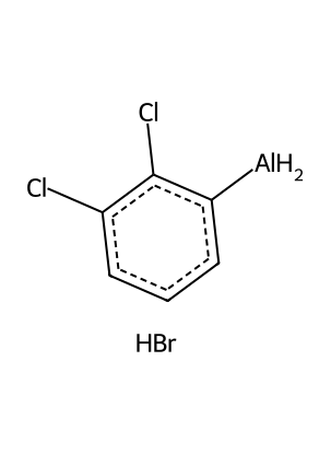 Br.[AlH2][c]1cccc(Cl)c1Cl